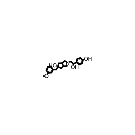 COc1cccc(CC2(O)CC3CN(CC(O)c4ccc(O)cc4)CC3C2)c1